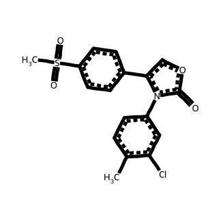 Cc1ccc(-n2c(-c3ccc(S(C)(=O)=O)cc3)coc2=O)cc1Cl